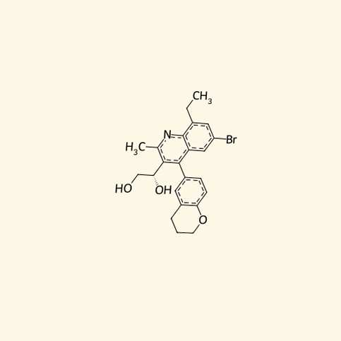 CCc1cc(Br)cc2c(-c3ccc4c(c3)CCCO4)c([C@H](O)CO)c(C)nc12